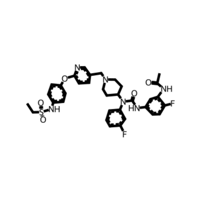 CCS(=O)(=O)Nc1ccc(Oc2ccc(CN3CCC(N(C(=O)Nc4ccc(F)c(NC(C)=O)c4)c4cccc(F)c4)CC3)cn2)cc1